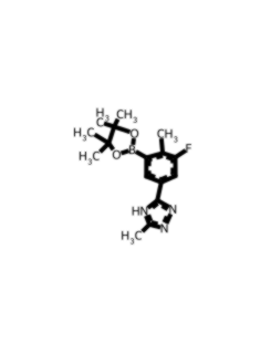 Cc1nnc(-c2cc(F)c(C)c(B3OC(C)(C)C(C)(C)O3)c2)[nH]1